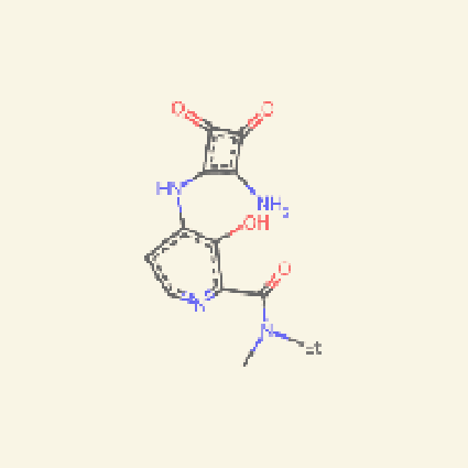 CCN(C)C(=O)c1nccc(Nc2c(N)c(=O)c2=O)c1O